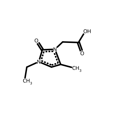 CCn1cc(C)n(CC(=O)O)c1=O